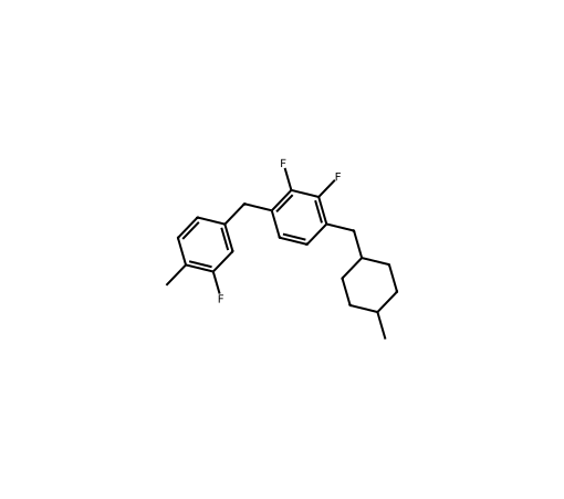 Cc1ccc(Cc2ccc(CC3CCC(C)CC3)c(F)c2F)cc1F